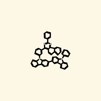 c1ccc(-c2nc(-c3cccc(-n4c5ccccc5c5ccc(-c6ccc7c(c6)c6ccccc6n7-c6ccccc6)cc54)c3)c3ccc4ccccc4c3n2)cc1